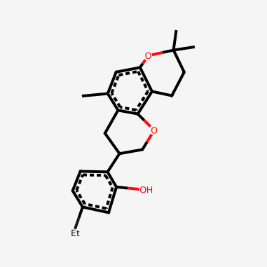 CCc1ccc(C2COc3c(c(C)cc4c3CCC(C)(C)O4)C2)c(O)c1